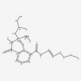 CCCCC=COC(=O)c1cccc(C(=O)N(C)P(=O)(NC)SC(C)CC)c1